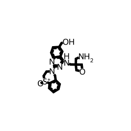 NCC1(CNc2nc(N3CC[S+]([O-])c4ccccc4C3)nc3ccc(CO)cc23)COC1